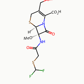 CO[C@@]1(NC(=O)CSC(F)F)C(=O)N2C(C(=O)O)=C(CO)CS[C@@H]21